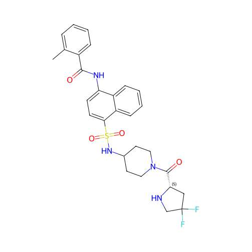 Cc1ccccc1C(=O)Nc1ccc(S(=O)(=O)NC2CCN(C(=O)[C@@H]3CC(F)(F)CN3)CC2)c2ccccc12